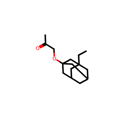 CCC12CC3CC(C1)CC(OCC(C)=O)(C3)C2